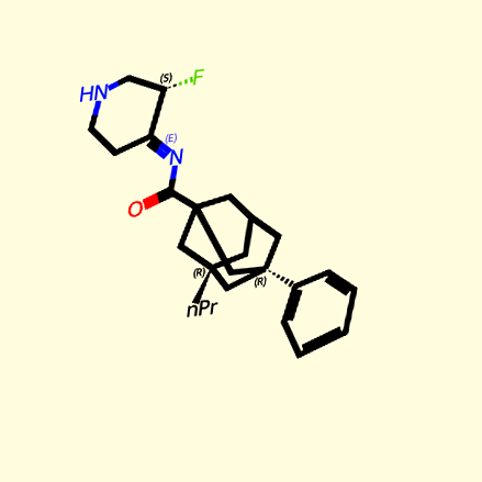 CCC[C@]12CC3CC(C(=O)/N=C4\CCNC[C@@H]4F)(C1)C[C@@](c1ccccc1)(C3)C2